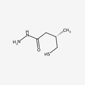 C[C@H](CS)CC(=O)NN